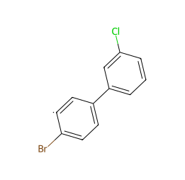 Clc1cccc(-c2c[c]c(Br)cc2)c1